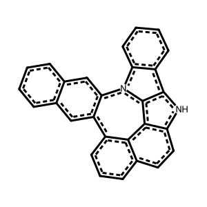 c1ccc2cc3c(cc2c1)c1cccc2ccc4[nH]c5c6ccccc6n3c5c4c21